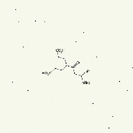 CCCCCCC(CCC)CC(=O)C(CCC(=O)O)CCC(=O)O